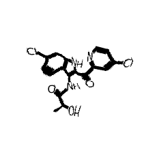 C[C@H](O)C(=O)Nc1c(C(=O)c2cc(Cl)ccn2)[nH]c2cc(Cl)ccc12